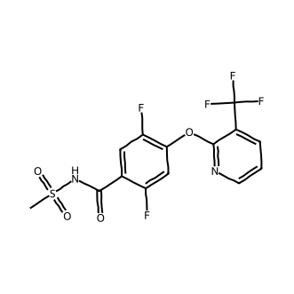 CS(=O)(=O)NC(=O)c1cc(F)c(Oc2ncccc2C(F)(F)F)cc1F